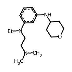 CCN(CCN(C)C)c1cc[c]c(NC2CCOCC2)c1